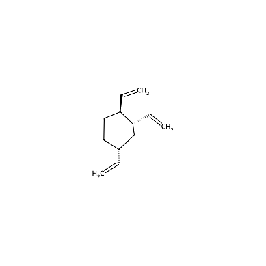 C=C[C@@H]1CC[C@@H](C=C)[C@H](C=C)C1